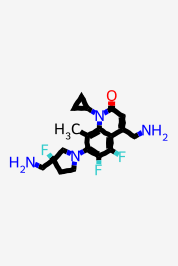 Cc1c(N2CCC(F)(CN)C2)c(F)c(F)c2c(CN)cc(=O)n(C3CC3)c12